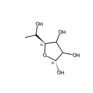 CC(O)[C@@H]1O[C@@H](O)C(O)C1O